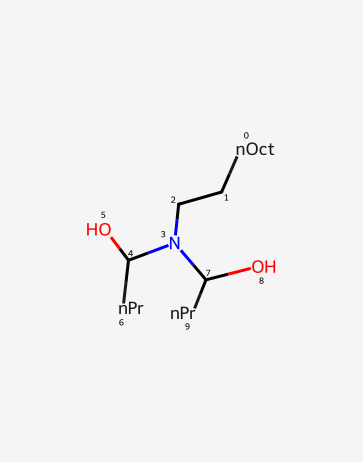 CCCCCCCCCCN(C(O)CCC)C(O)CCC